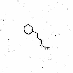 CCCOCCCC1CCCCC1